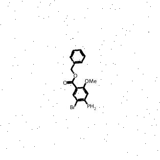 COc1cc(P)c(Br)cc1C(=O)OCc1ccccc1